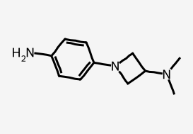 CN(C)C1CN(c2ccc(N)cc2)C1